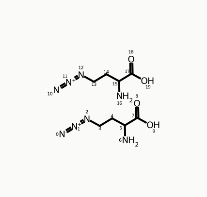 [N-]=[N+]=NCCC(N)C(=O)O.[N-]=[N+]=NCCC(N)C(=O)O